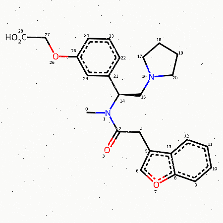 CN(C(=O)Cc1coc2ccccc12)[C@H](CN1CCCC1)c1cccc(OCC(=O)O)c1